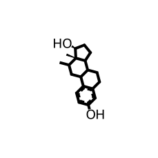 CC1CC2c3ccc(O)cc3CCC2C2CC[C@H](O)[C@@]12C